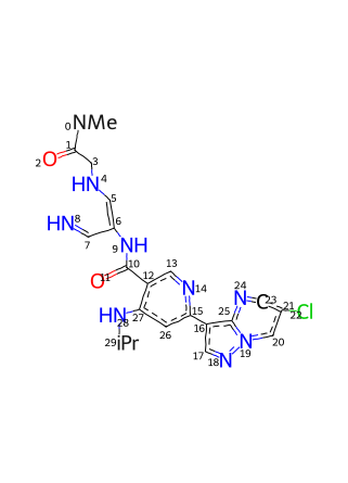 CNC(=O)CN/C=C(\C=N)NC(=O)c1cnc(-c2cnn3cc(Cl)cnc23)cc1NC(C)C